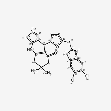 CC1(C)CC(=O)C2=C(C1)Nc1n[nH]cc1C2c1ccc(Sc2nc3cc(Cl)c(Cl)cc3[nH]2)o1